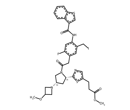 COC(=O)CCc1cnc([C@@H]2C[C@H](N3CC(OC)C3)CN2C(=O)Cc2cc(CI)c(NC(=O)c3csc4ccccc34)cc2F)s1